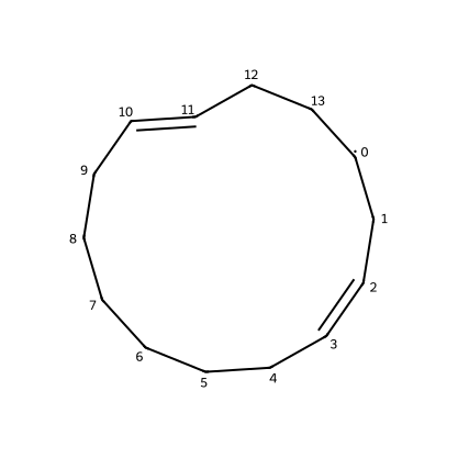 [CH]1C/C=C\CCCCCC/C=C/CC1